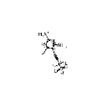 Cc1nc(N)nc(N)c1C#CC(C)(C)S(C)(=O)=O